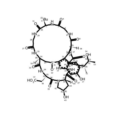 CC[C@H](C)C1NC(=O)CNC(=O)[C@@H]2Cc3c([nH]c4cc(O)ccc34)[S+]([O-])C[C@H](NC(=O)CNC1=O)C(=O)N[C@@H](CC(=O)O)C(=O)N1C[C@H](O)C[C@H]1C(=O)N[C@@H]([C@@H](C)[C@H](C)O)C(=O)N2